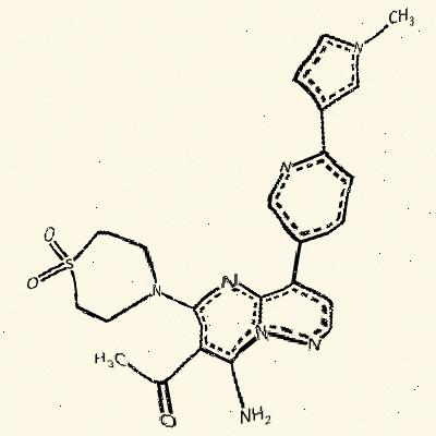 CC(=O)c1c(N2CCS(=O)(=O)CC2)nc2c(-c3ccc(-c4ccn(C)c4)nc3)cnn2c1N